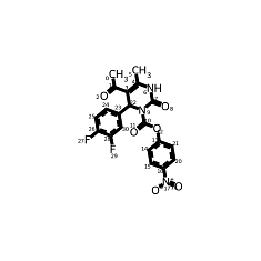 CC(=O)C1=C(C)NC(=O)N(C(=O)Oc2ccc([N+](=O)[O-])cc2)C1c1ccc(F)c(F)c1